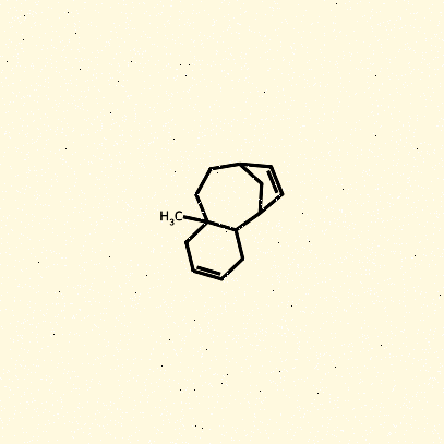 CC12CC=CCC1C1C=CC(CC2)C1